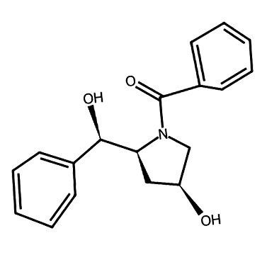 O=C(c1ccccc1)N1C[C@@H](O)C[C@H]1[C@H](O)c1ccccc1